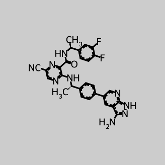 C[C@H](NC(=O)c1nc(C#N)cnc1N[C@@H](C)c1ccc(-c2cnc3[nH]nc(N)c3c2)cc1)c1ccc(F)c(F)c1